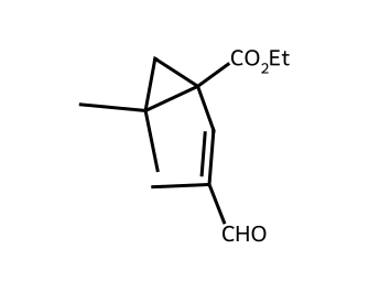 CCOC(=O)C1(C=C(C)C=O)CC1(C)C